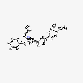 Cc1ccc(-c2csc(N/N=C(\Cc3ccccc3)OC=O)n2)cc1Cl